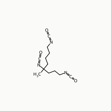 CC(CCCCN=C=O)(CCCN=C=O)N=C=O